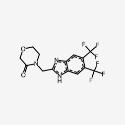 O=C1COCCN1Cc1nc2cc(C(F)(F)F)c(C(F)(F)F)cc2[nH]1